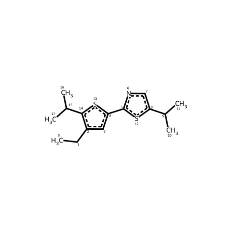 CCc1cc(-c2ncc(C(C)C)s2)sc1C(C)C